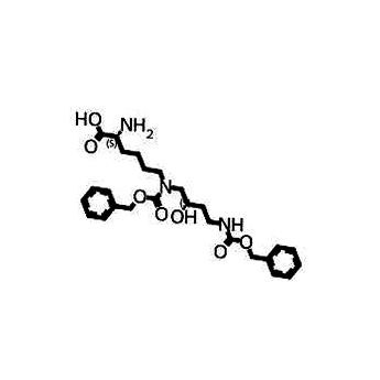 N[C@@H](CCCCN(C[C@@H](O)CCNC(=O)OCc1ccccc1)C(=O)OCc1ccccc1)C(=O)O